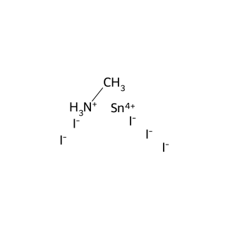 C[NH3+].[I-].[I-].[I-].[I-].[I-].[Sn+4]